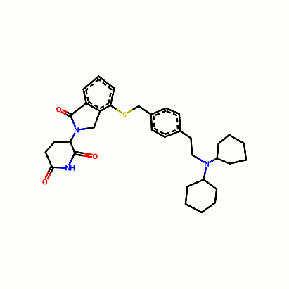 O=C1CCC(N2Cc3c(SCc4ccc(CCN(C5CCCCC5)C5CCCCC5)cc4)cccc3C2=O)C(=O)N1